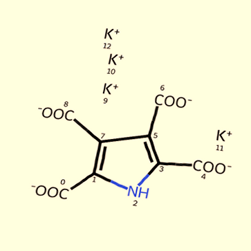 O=C([O-])c1[nH]c(C(=O)[O-])c(C(=O)[O-])c1C(=O)[O-].[K+].[K+].[K+].[K+]